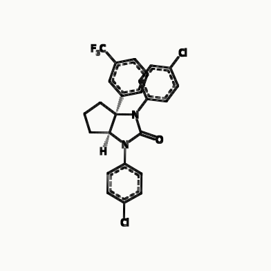 O=C1N(c2ccc(Cl)cc2)[C@H]2CCC[C@@]2(c2cccc(C(F)(F)F)c2)N1c1ccc(Cl)cc1